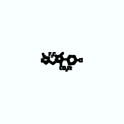 CCOC(=O)c1c(-c2ccc(Cl)cc2)c(C)c(C(F)(F)F)n1Cc1cnn(C)c1